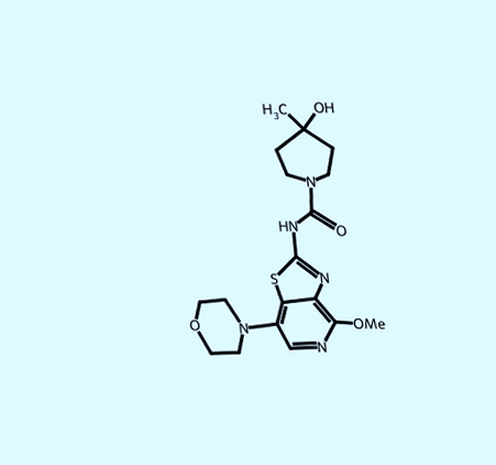 COc1ncc(N2CCOCC2)c2sc(NC(=O)N3CCC(C)(O)CC3)nc12